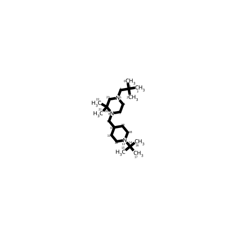 CC(C)(C)CN1CCN(CC2CCN(C(C)(C)C)CC2)C(C)(C)C1